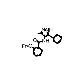 CCOc1ccccc1C(=O)Nc1c(C)n[nH]c1-c1ccccc1